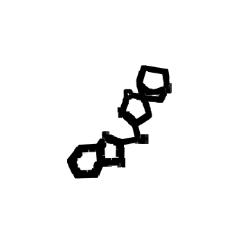 c1ccc2sc(NC3=NOC4(C3)CN3CCC4CC3)nc2c1